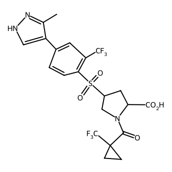 Cc1n[nH]cc1-c1ccc(S(=O)(=O)C2CC(C(=O)O)N(C(=O)C3(C(F)(F)F)CC3)C2)c(C(F)(F)F)c1